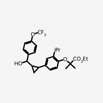 CCOC(=O)C(C)(C)Oc1ccc(C2CC2C(O)c2ccc(OC(F)(F)F)cc2)cc1C(C)C